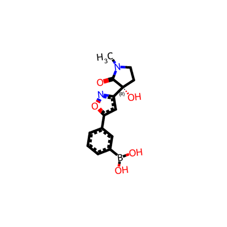 CN1CC[C@@](O)(c2cc(-c3cccc(B(O)O)c3)on2)C1=O